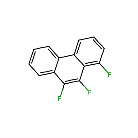 Fc1c(F)c2c(F)[c]ccc2c2cc[c]cc12